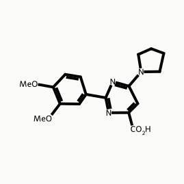 COc1ccc(-c2nc(C(=O)O)cc(N3CCCC3)n2)cc1OC